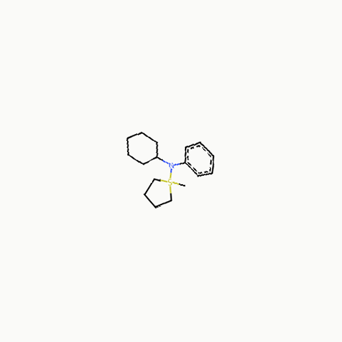 CS1(N(c2ccccc2)C2CCCCC2)CCCC1